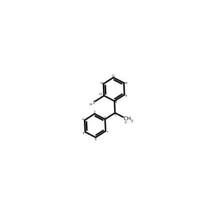 CC(c1ccccc1)c1ccccc1I